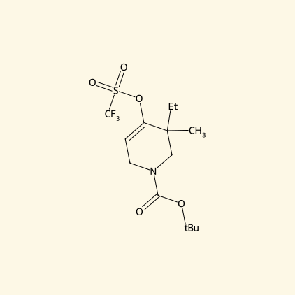 CCC1(C)CN(C(=O)OC(C)(C)C)CC=C1OS(=O)(=O)C(F)(F)F